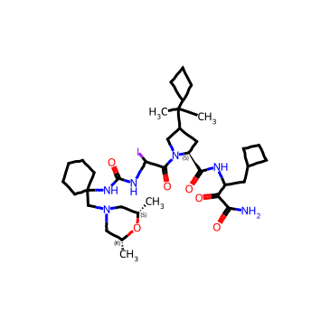 C[C@@H]1CN(CC2(NC(=O)NC(I)C(=O)N3CC(C(C)(C)C4CCC4)C[C@H]3C(=O)NC(CC3CCC3)C(=O)C(N)=O)CCCCC2)C[C@H](C)O1